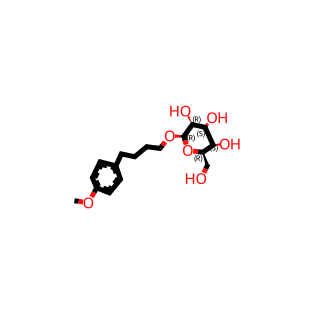 COc1ccc(CCCCO[C@@H]2O[C@H](CO)[C@@H](O)[C@H](O)[C@H]2O)cc1